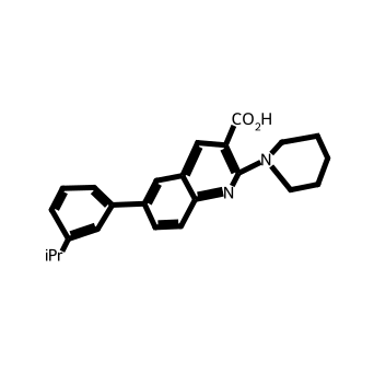 CC(C)c1cccc(-c2ccc3nc(N4CCCCC4)c(C(=O)O)cc3c2)c1